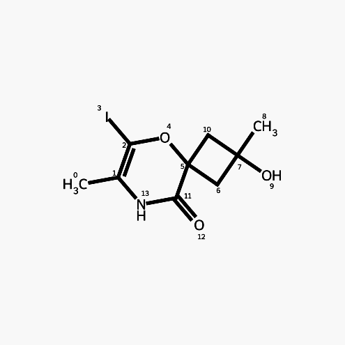 CC1=C(I)OC2(CC(C)(O)C2)C(=O)N1